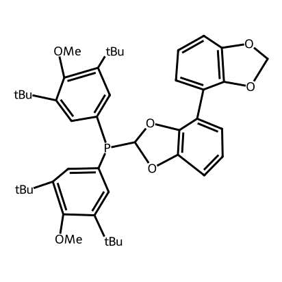 COc1c(C(C)(C)C)cc(P(c2cc(C(C)(C)C)c(OC)c(C(C)(C)C)c2)C2Oc3cccc(-c4cccc5c4OCO5)c3O2)cc1C(C)(C)C